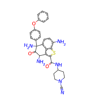 N#CN1CCC(NC(=O)c2sc3c(N)ccc4c3c2C(N)C(=O)C4(N)c2ccc(Oc3ccccc3)cc2)CC1